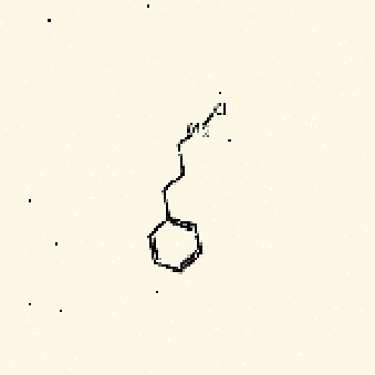 [Cl][Mg][CH2]CCc1ccccc1